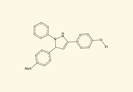 CCOc1ccc(C2=CC(c3ccc(SC)cc3)N(c3ccccc3)N2)cc1